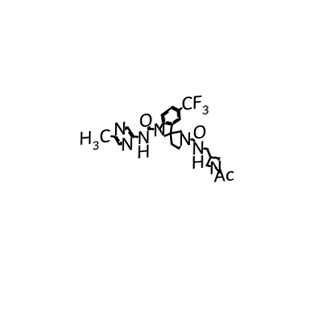 CC(=O)N1CC(CNC(=O)N2CCC3(C2)CN(C(=O)Nc2cnc(C)cn2)c2ccc(C(F)(F)F)cc23)C1